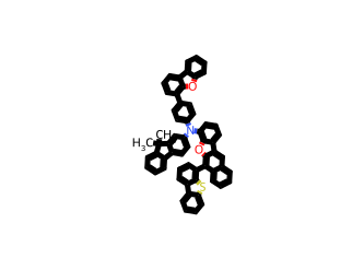 CC1(C)c2ccccc2-c2ccc(N(c3ccc(-c4cccc5c4oc4ccccc45)cc3)c3cccc4c3oc3c(-c5cccc6c5sc5ccccc56)c5ccccc5cc34)cc21